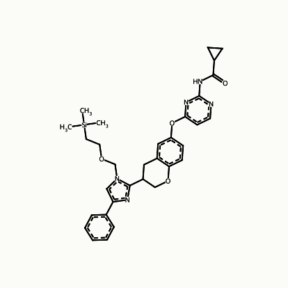 C[Si](C)(C)CCOCn1cc(-c2ccccc2)nc1C1COc2ccc(Oc3ccnc(NC(=O)C4CC4)n3)cc2C1